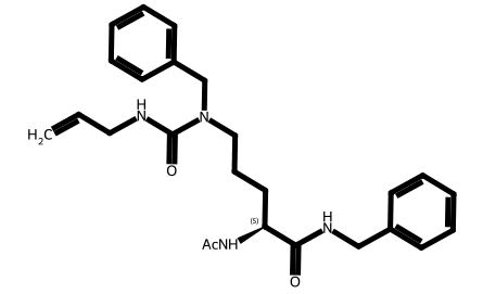 C=CCNC(=O)N(CCC[C@H](NC(C)=O)C(=O)NCc1ccccc1)Cc1ccccc1